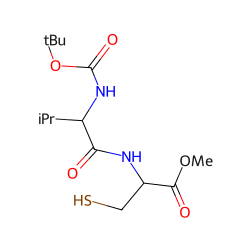 COC(=O)C(CS)NC(=O)C(NC(=O)OC(C)(C)C)C(C)C